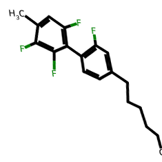 CCCCCCc1ccc(-c2c(F)cc(C)c(F)c2F)c(F)c1